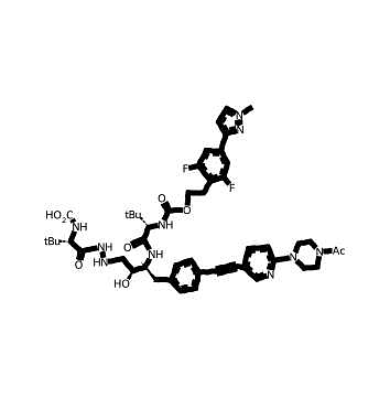 CC(=O)N1CCN(c2ccc(C#Cc3ccc(C[C@H](NC(=O)[C@@H](NC(=O)OCCc4c(F)cc(-c5ccn(C)n5)cc4F)C(C)(C)C)[C@@H](O)CNNC(=O)[C@@H](NC(=O)O)C(C)(C)C)cc3)cn2)CC1